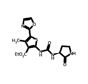 CCOC(=O)c1c(NC(=O)N[C@H]2CCNC2=O)sc(-c2ncco2)c1C